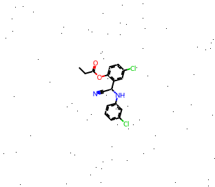 CCC(=O)Oc1ccc(Cl)cc1C(C#N)Nc1cccc(Cl)c1